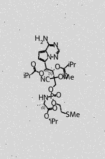 COC(C#N)(COP(=O)(N[C@@H](C)C(=O)OC(C)C)OCCSC)[C@@H](OC(=O)C(C)C)[C@@H](OC(=O)C(C)C)c1ccc2c(N)ncnn12